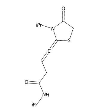 CC(C)NC(=O)CC=C=C1SCC(=O)N1C(C)C